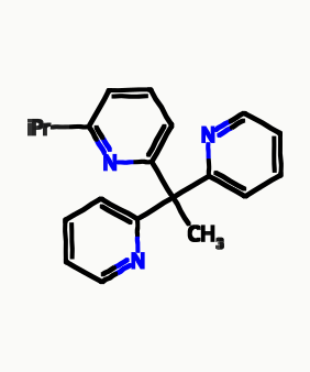 CC(C)c1cccc(C(C)(c2ccccn2)c2ccccn2)n1